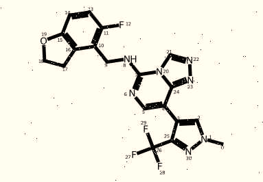 Cn1cc(-c2cnc(NCc3c(F)ccc4c3CCO4)n3cnnc23)c(C(F)(F)F)n1